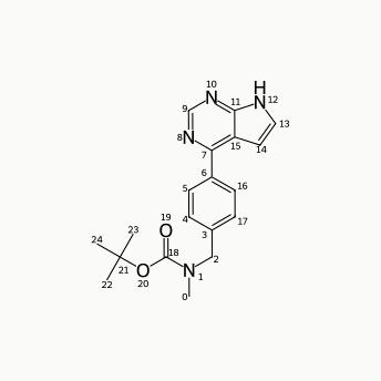 CN(Cc1ccc(-c2ncnc3[nH]ccc23)cc1)C(=O)OC(C)(C)C